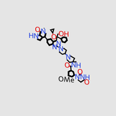 COc1ccc(C(=O)NC2(C)CCN(C3CCN(c4nc(C(CO)(OC5CC5)c5ccccc5)c5cc(-c6cn(C)c(=O)c7[nH]ccc67)ccc5n4)CC3)CC2)cc1N1CCC(=O)NC1=O